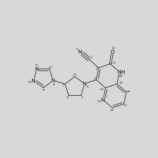 N#Cc1c(N2CCC(n3cnnc3)C2)c2ncccc2[nH]c1=O